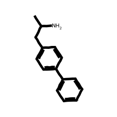 CC(N)Cc1ccc(-c2cc[c]cc2)cc1